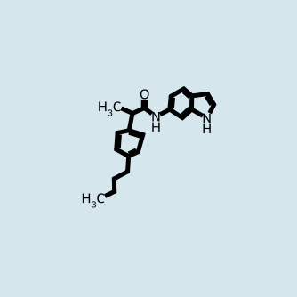 CCCCc1ccc(C(C)C(=O)Nc2ccc3cc[nH]c3c2)cc1